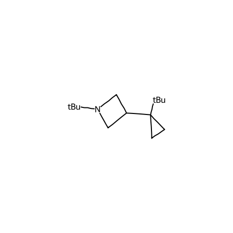 CC(C)(C)N1CC(C2(C(C)(C)C)CC2)C1